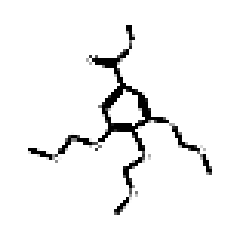 COCOc1cc(C(=O)OC)cc(OCOC)c1OCOC